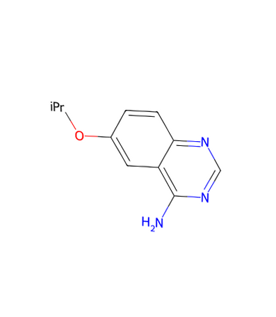 CC(C)Oc1ccc2ncnc(N)c2c1